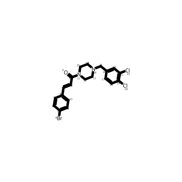 O=C(C=Cc1ccc(Br)cc1)N1CCN(Cc2ccc(Cl)c(Cl)c2)CC1